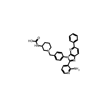 Nc1ncccc1-c1nc2ccc(-c3ccccc3)nc2n1-c1ccc(CN2CCCC(NC(=O)O)C2)cc1